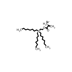 C=C(C)C(=O)OCC[P+](CCCCCCCC)(CCCCCCCC)CCCCCCCC.[Br-]